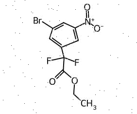 CCOC(=O)C(F)(F)c1cc(Br)cc([N+](=O)[O-])c1